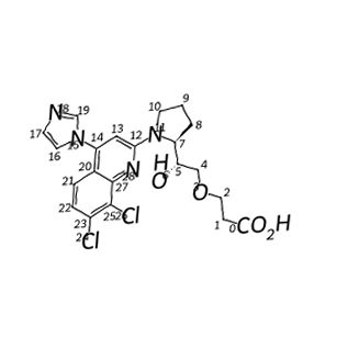 O=C(O)CCOC[C@H](O)[C@@H]1CCCN1c1cc(-n2ccnc2)c2ccc(Cl)c(Cl)c2n1